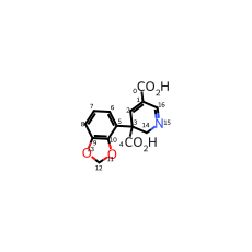 O=C(O)C1=CC(C(=O)O)(c2cccc3c2OCO3)CN=C1